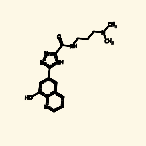 CN(C)CCCNC(=O)c1nnc(-c2cc(O)c3ncccc3c2)[nH]1